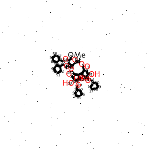 CO[C@H]1O[C@@H]2COC(=O)c3cc(O)c(OCc4ccccc4)c(O)c3-c3c(cc(O)c(OCc4ccccc4)c3O)C(=O)O[C@H]2[C@H](OCc2ccccc2)[C@H]1OCc1ccccc1